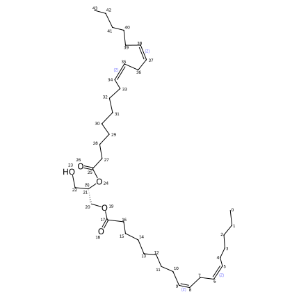 CCCCC/C=C\C/C=C\CCCCCCCC(=O)OC[C@H](CO)OC(=O)CCCCCCC/C=C\C/C=C\CCCCC